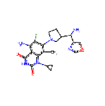 Cc1c(N2CCC(C(N)c3cocn3)C2)c(F)c(N)c2c(=O)[nH]c(=O)n(C3CC3)c12